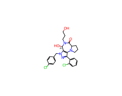 O=C1C2CCCN2c2c(-c3ccccc3Cl)nn(Cc3ccc(Cl)cc3)c2[C@@H](O)N1CCCO